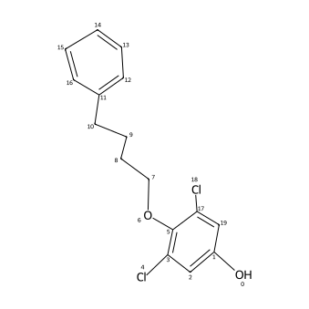 Oc1cc(Cl)c(OCCCCc2ccccc2)c(Cl)c1